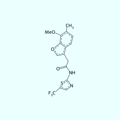 COc1c(C)ccc2c(CC(=O)Nc3ncc(C(F)(F)F)s3)coc12